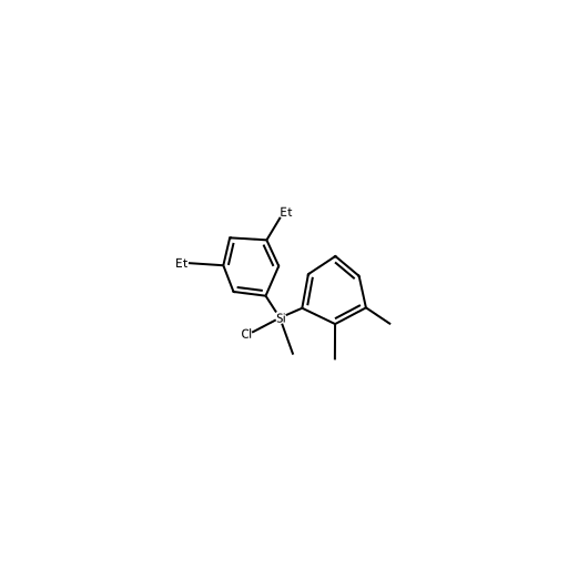 CCc1cc(CC)cc([Si](C)(Cl)c2cccc(C)c2C)c1